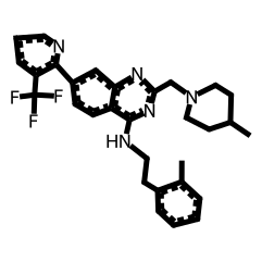 Cc1ccccc1CCNc1nc(CN2CCC(C)CC2)nc2cc(-c3ncccc3C(F)(F)F)ccc12